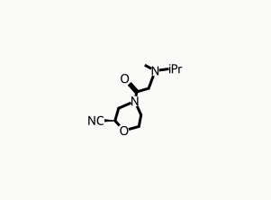 CC(C)N(C)CC(=O)N1CCO[C@@H](C#N)C1